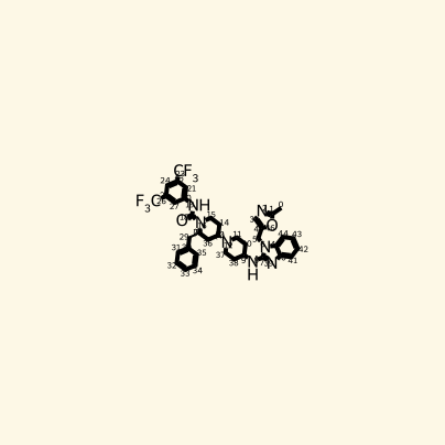 Cc1ncc(Cn2c(NC3CCN([C@H]4CCN(C(=O)Nc5cc(C(F)(F)F)cc(C(F)(F)F)c5)[C@H](Cc5ccccc5)C4)CC3)nc3ccccc32)o1